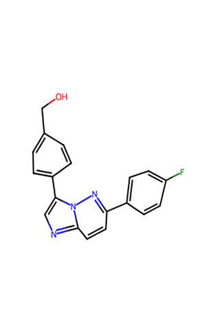 OCc1ccc(-c2cnc3ccc(-c4ccc(F)cc4)nn23)cc1